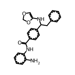 Nc1ccccc1NC(=O)c1ccc(C(Cc2ccccc2)NC2=COCO2)cc1